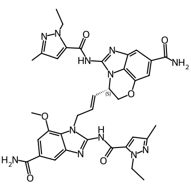 CCn1nc(C)cc1C(=O)Nc1nc2cc(C(N)=O)cc(OC)c2n1CC=C[C@H]1COc2cc(C(N)=O)cc3nc(NC(=O)c4cc(C)nn4CC)n1c23